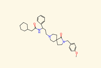 COc1ccc(CN2CCC3(CCN(CCC(NC(=O)CC4CCCCC4)c4ccccc4)CC3)C2=O)cc1